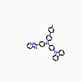 Cc1ccc(-c2ccc(N(c3ccc(-c4cn5ccccc5n4)cc3)c3ccc(-n4c5ccccc5c5ccccc54)cc3)cc2)cc1